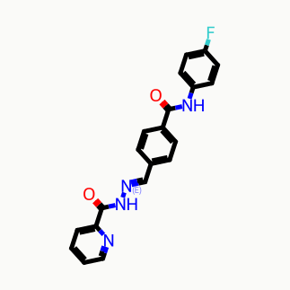 O=C(Nc1ccc(F)cc1)c1ccc(/C=N/NC(=O)c2ccccn2)cc1